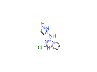 Clc1nc(Nc2cc[nH]n2)n2cccc2n1